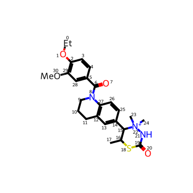 CCOc1ccc(C(=O)N2CCCc3cc(C4C(C)SC(=O)N[N+]4(C)C)ccc32)cc1OC